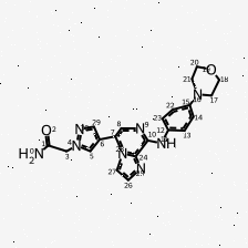 NC(=O)Cn1cc(-c2cnc(Nc3ccc(N4CCOCC4)cc3)c3nccn23)cn1